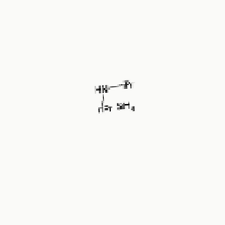 CCCNC(C)C.[SiH4]